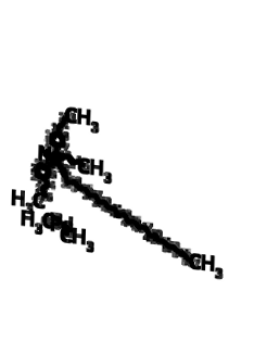 CCC=CC1=C(c2ccc(CCCC)cc2)[N+](=[N-])C(c2cccc(CCCC)c2)=C1C#CCCCCCCCCCCCCCCCCCCCCCCCCCC.C[CH2][Pd][CH2]C